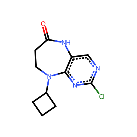 O=C1CCN(C2CCC2)c2nc(Cl)ncc2N1